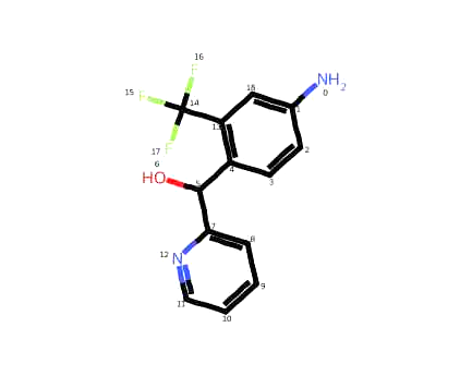 Nc1ccc(C(O)c2ccccn2)c(C(F)(F)F)c1